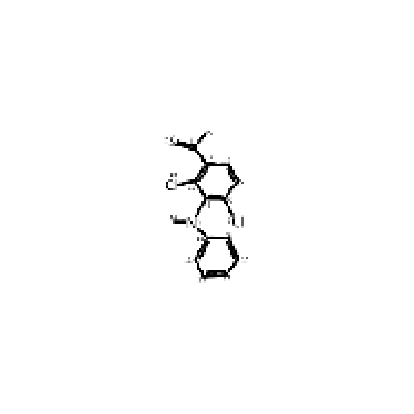 CC(=S)c1ccc(Cl)c(N(C)c2ccccc2)c1Cl